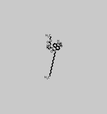 C=CCOC(=O)Cn1nnnc1SC(=O)N(CCCCCCCCCCCCCCCC)c1ccc2c3c(cccc13)NS2(=O)=O